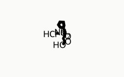 CN.Cl.O=C(O)CC(=O)OCc1ccccc1